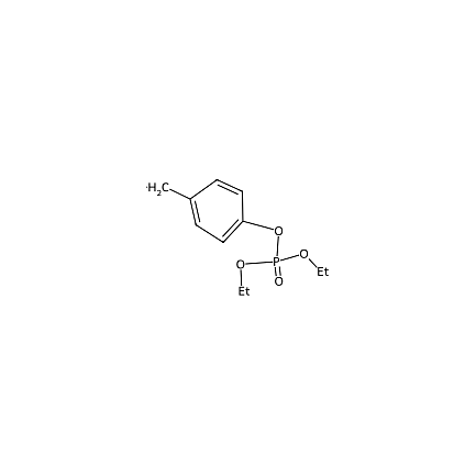 [CH2]c1ccc(OP(=O)(OCC)OCC)cc1